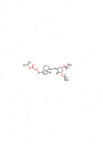 C=C1/C(=C\C=C2/CCC[C@]3(C)C(C(C)OCC(=O)OC(CC)CC)=CC[C@@H]23)C[C@@H](O[Si](C)(C)C(C)(C)C)C[C@@H]1O[Si](C)(C)C(C)(C)C